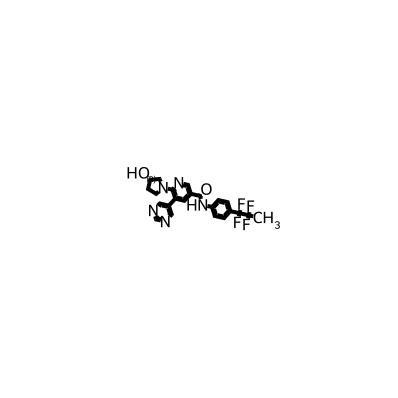 CC(F)(F)C(F)(F)c1ccc(NC(=O)c2cnc(N3CC[C@@H](O)C3)c(-c3cncnc3)c2)cc1